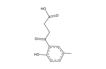 Cc1ccc(O)c(C(=O)CCC(=O)O)c1